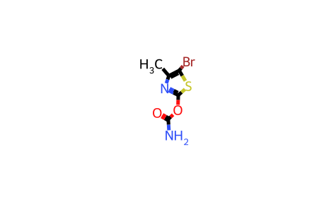 Cc1nc(OC(N)=O)sc1Br